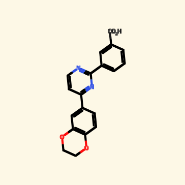 O=C(O)c1cccc(-c2nccc(-c3ccc4c(c3)OCCO4)n2)c1